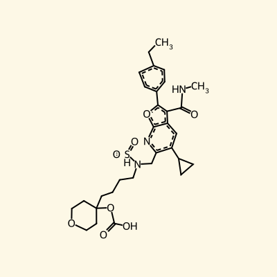 CCc1ccc(-c2oc3nc(CN(CCCCC4(OC(=O)O)CCOCC4)[SH](=O)=O)c(C4CC4)cc3c2C(=O)NC)cc1